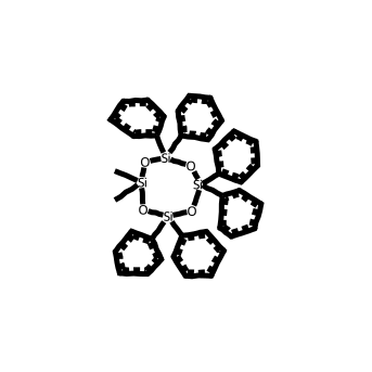 C[Si]1(C)O[Si](c2ccccc2)(c2ccccc2)O[Si](c2ccccc2)(c2ccccc2)O[Si](c2ccccc2)(c2ccccc2)O1